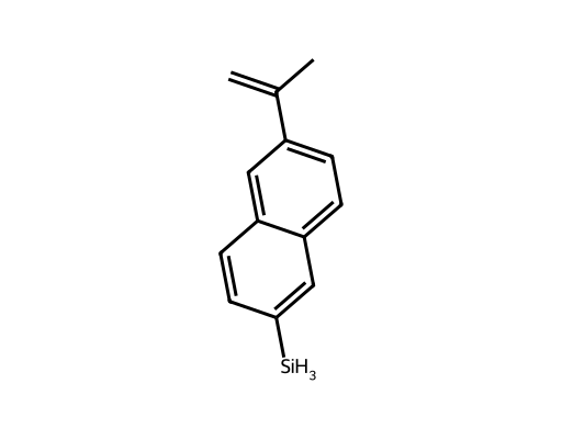 C=C(C)c1ccc2cc([SiH3])ccc2c1